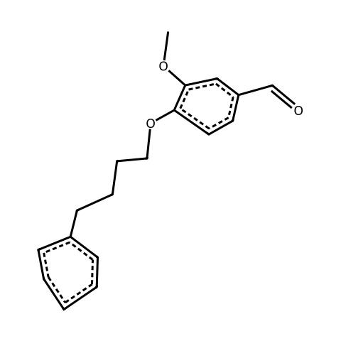 COc1cc(C=O)ccc1OCCCCc1ccccc1